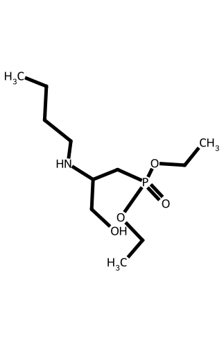 CCCCNC(CO)CP(=O)(OCC)OCC